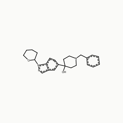 OC1(c2ccc3c(cnn3C3CCCCO3)c2)CCN(Cc2ccccc2)CC1